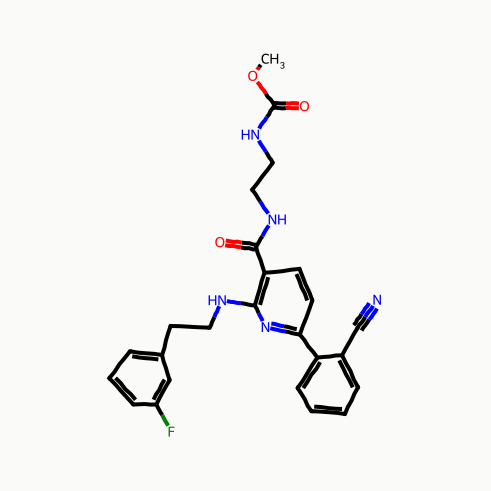 COC(=O)NCCNC(=O)c1ccc(-c2ccccc2C#N)nc1NCCc1cccc(F)c1